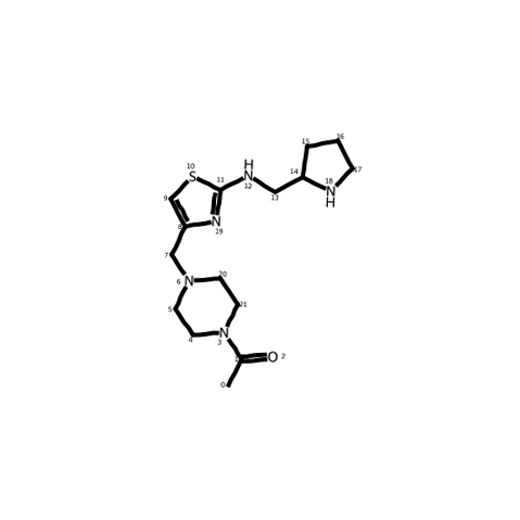 CC(=O)N1CCN(Cc2csc(NCC3CCCN3)n2)CC1